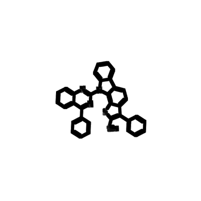 CC(C)(C)c1sc2c(ccc3c4ccccc4n(-c4nc(-c5ccccc5)c5ccccc5n4)c32)c1-c1ccccc1